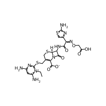 CC[n+]1c(N)cc(N)nc1SCC1=C(C(=O)[O-])N2C(=O)C(NC(=O)/C(=N\OCC(=O)O)c3csc(N)n3)[C@H]2SC1